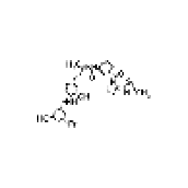 Cc1csc([C@H]2CCCN2C(=O)c2cccc(C(=O)N[C@@H](C)CCc3ccc(NCc4cc(O)cc(C(C)C)c4)c(O)c3)c2)n1